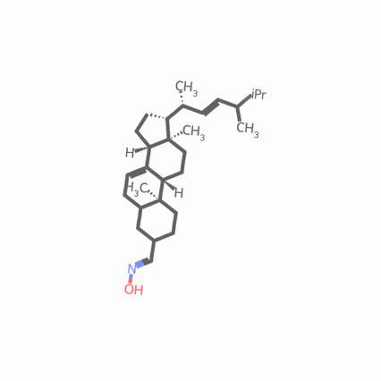 CC(C)C(C)C=C[C@@H](C)[C@H]1CC[C@H]2C3=CCC4CC(C=NO)CC[C@]4(C)[C@H]3CC[C@]12C